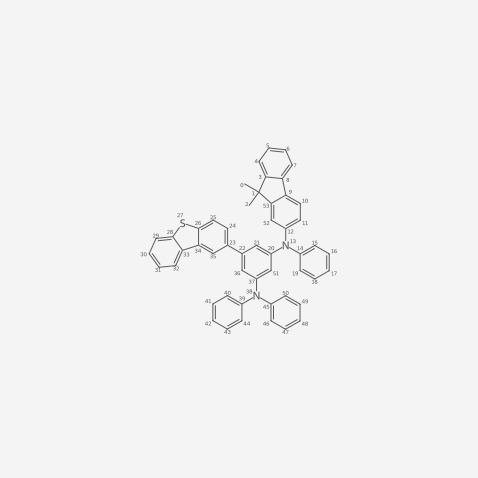 CC1(C)c2ccccc2-c2ccc(N(c3ccccc3)c3cc(-c4ccc5sc6ccccc6c5c4)cc(N(c4ccccc4)c4ccccc4)c3)cc21